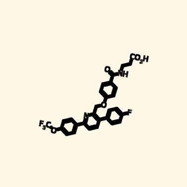 O=C(O)CCNC(=O)c1ccc(OCc2nc(-c3ccc(OC(F)(F)F)cc3)ccc2-c2ccc(F)cc2)cc1